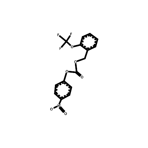 O=C(OCc1ccccc1OC(F)(F)F)Oc1ccc([N+](=O)[O-])cc1